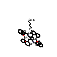 N#C/C(c1nc2ccccc2s1)=c1\c2c(C3CCCCC3)n(B(c3ccccc3)c3ccccc3)/c(=C(/C#N)c3nc4ccccc4s3)c2c(-c2cccc(OCCCCS(=O)(=O)O)c2)n1B(c1ccccc1)c1ccccc1